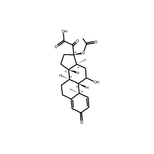 CC(=O)O[C@]1(C(=O)C(=O)O)CC[C@H]2[C@@H]3CCC4=CC(=O)C=C[C@]4(C)[C@H]3C(O)C[C@@]21C